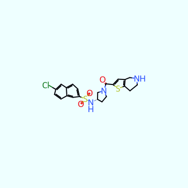 O=C(c1cc2c(s1)CCNC2)N1CC[C@H](NS(=O)(=O)c2ccc3cc(Cl)ccc3c2)C1